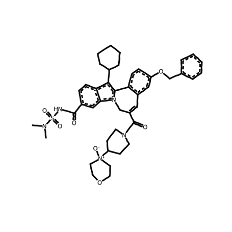 CN(C)S(=O)(=O)NC(=O)c1ccc2c(C3CCCCC3)c3n(c2c1)CC(C(=O)N1CCC([N+]2([O-])CCOCC2)CC1)=Cc1cc(OCc2ccccc2)ccc1-3